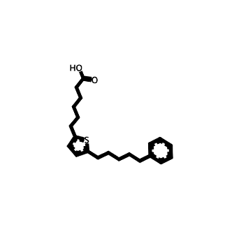 O=C(O)CCCCCc1ccc(CCCCCc2ccccc2)s1